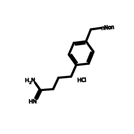 CCCCCCCCCCc1ccc(CCCC(=N)N)cc1.Cl